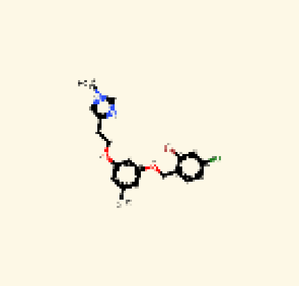 O=Cc1cc(OCCc2cn(C(=O)O)cn2)cc(OCc2ccc(Cl)cc2Br)c1